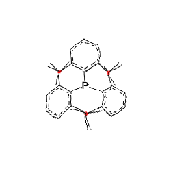 CC(C)c1cccc(C(C)C)c1P(c1c(C(C)C)cccc1C(C)C)c1c(C(C)C)cccc1C(C)C